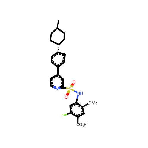 COc1cc(C(=O)O)c(F)cc1NS(=O)(=O)c1cc(-c2ccc([C@H]3CC[C@H](C)CC3)cc2)ccn1